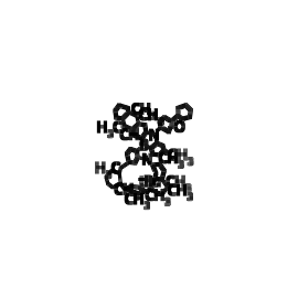 Cc1cc2c3c(c1)N1c4cc5c(cc4C)C(C)(C)CCC5(C)c4cc(C)c(cc4C(C)(C)C)C4(C)CCCCC4(C)Cc4ccc(c1c4)B3c1cc3c(cc1N2c1ccc2c(c1)oc1ccccc12)C(C)(C)c1ccccc1C3(C)C